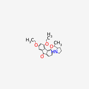 CCOc1cc(OCC)c2c(c1)C(=O)c1cccc(OC(C)C3CCCN3)c1-2